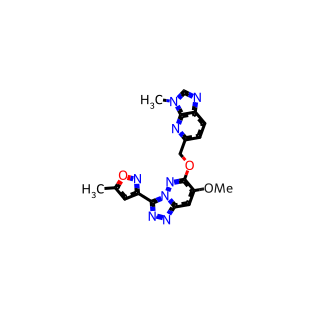 COc1cc2nnc(-c3cc(C)on3)n2nc1OCc1ccc2ncn(C)c2n1